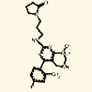 Cc1cc(F)ccc1-c1nc(NCCCN2CCCC2=O)nc2c1CNC[NH+]2[O-]